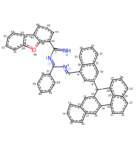 N=C(/N=C(\N=C\c1cc(C2c3cc4ccccc4cc3-c3cccc4cccc2c34)cc2ccccc12)c1ccccc1)c1cccc2c1oc1ccccc12